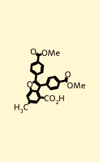 COC(=O)c1ccc(-c2oc3cc(C)cc(C(=O)O)c3c2-c2ccc(C(=O)OC)cc2)cc1